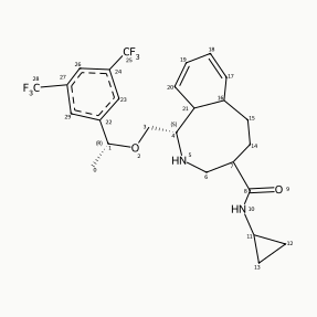 C[C@@H](OC[C@H]1NCC(C(=O)NC2CC2)CCC2C=CC=CC21)c1cc(C(F)(F)F)cc(C(F)(F)F)c1